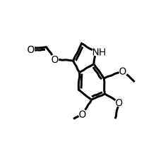 COc1cc2c(OC=O)c[nH]c2c(OC)c1OC